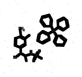 CCN(c1ccc(N)c(C)c1)C(C)NS(C)(=O)=O.c1ccc([B-](c2ccccc2)(c2ccccc2)c2ccccc2)cc1